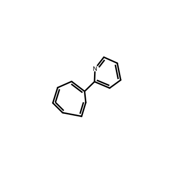 C1=CC=CC(c2ccccn2)=CC=1